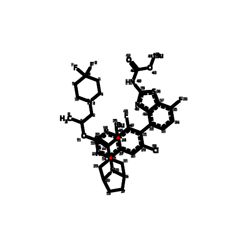 CC(CN1CCC(F)(F)CC1)Oc1nc(N2C3CCC2CN(C(=O)OC(C)(C)C)C3)c2cc(Cl)c(-c3ccc(F)c4sc(NC(=O)OC(C)(C)C)nc34)c(F)c2n1